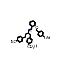 CC(C)(C)c1ccc(COc2ccccc2/C=C/C(CCc2ccc(C#N)cc2)Cc2ccc(C(=O)O)cc2)cc1